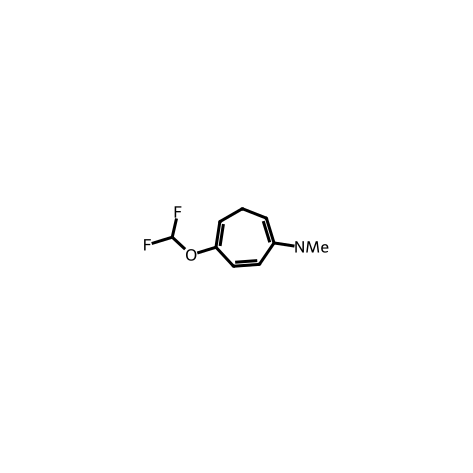 CNC1=CCC=C(OC(F)F)C=C1